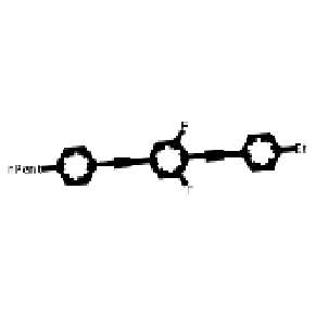 CCCCCc1ccc(C#Cc2cc(F)c(C#Cc3ccc(CC)cc3)c(F)c2)cc1